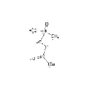 CC(C)(C)C(=O)COP(C)(C)=O